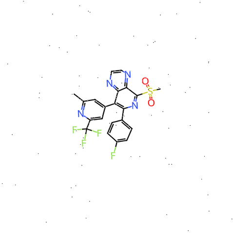 Cc1cc(-c2c(-c3ccc(F)cc3)nc(S(C)(=O)=O)c3nccnc23)cc(C(F)(F)F)n1